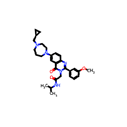 COc1cccc(-c2nc3ccc(N4CCCN(CC5CC5)CC4)cc3c(=O)n2CC(=O)NC(C)C)c1